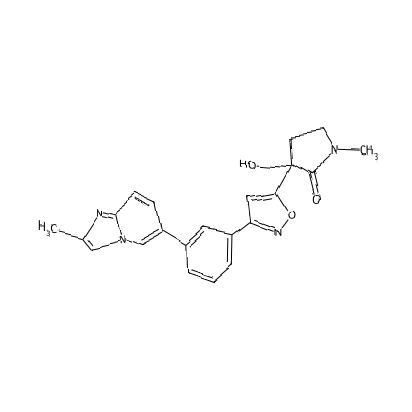 Cc1cn2cc(-c3cccc(-c4cc(C5(O)CCN(C)C5=O)on4)c3)ccc2n1